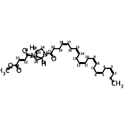 CC/C=C\C/C=C\C/C=C\C/C=C\C/C=C\C/C=C\CCC(=O)N1C[C@H]2C[C@H]1CN2C(=O)/C=C/C(=O)OC